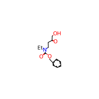 CCN(CCC(=O)CO)C(=O)OCc1ccccc1